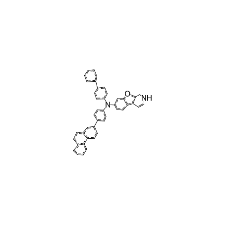 C1=Cc2c(oc3cc(N(c4ccc(-c5ccccc5)cc4)c4ccc(-c5ccc6c(ccc7ccccc76)c5)cc4)ccc23)CN1